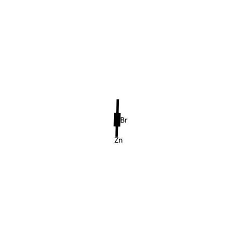 Br.CC#[C][Zn]